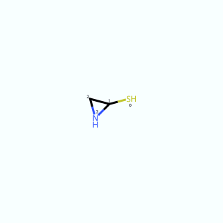 SC1CN1